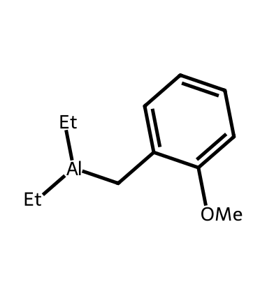 C[CH2][Al]([CH2]C)[CH2]c1ccccc1OC